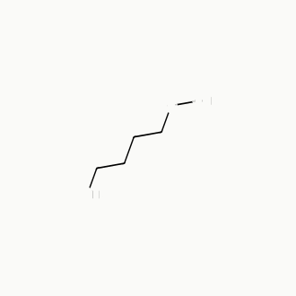 O=CCCCCOO